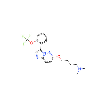 CN(C)CCCCOc1ccc2ncc(-c3ccccc3OC(F)(F)F)n2n1